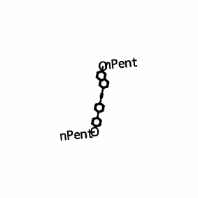 CCCCCOc1ccc(-c2ccc(C#Cc3ccc4cc(OCCCCC)ccc4c3)cc2)cc1